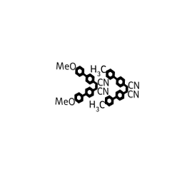 COc1ccc(-c2ccc(C(C#N)=C(C#N)c3ccc(-c4ccc(OC)cc4)cc3)cc2)cc1.Cc1ccc(-c2ccc(C(C#N)=C(C#N)c3ccc(-c4ccc(C)cc4)cc3)cc2)cc1